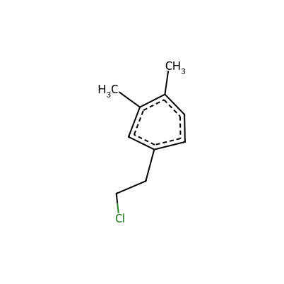 Cc1ccc(CCCl)cc1C